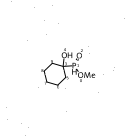 CO[PH](=O)C1(O)CCCCC1